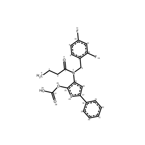 CCCC(=O)N(Cc1ccc(F)cc1F)c1cc(-c2ccccc2)sc1OC(=O)O